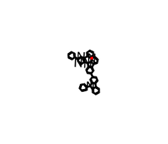 c1ccc(-c2ncc(-n3c4ccc(-c5ccc6c7ccccc7n(-c7ccccc7)c6c5)cc4c4cccnc43)c(-c3ccccc3)n2)cc1